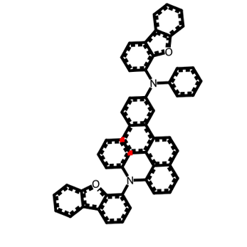 c1ccc(N(c2ccc3ccc4c(ccc5cccc(N(c6ccccc6)c6cccc7c6oc6ccccc67)c54)c3c2)c2cccc3c2oc2ccccc23)cc1